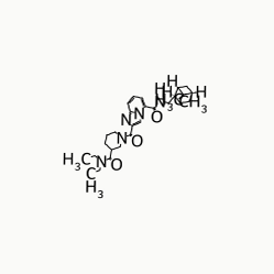 CCN(CC)C(=O)C1CCCN(C(=O)c2cn3c(C(=O)NC[C@@H]4CC[C@H]5C[C@@H]4C5(C)C)cccc3n2)C1